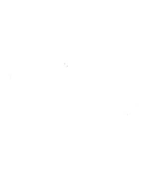 Cc1cc(NCCc2ccc(C(F)(F)F)cc2)ccc1Cl